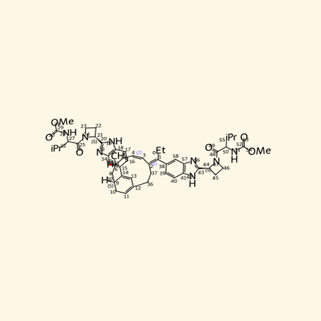 CC/C(=C1\C=C/C[C@H](C)C[C@H]2CC=C(C=C2c2ccc3[nH]c([C@@H]4CCN4C(=O)C(NC(=O)OC)C(C)C)nc3c2)CC1)c1ccc2[nH]c([C@@H]3CCN3C(=O)C(NC(=O)OC)C(C)C)nc2c1